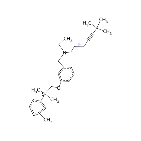 CCN(C/C=C/C#CC(C)(C)C)Cc1cccc(OC[Si](C)(C)c2cccc(C)c2)c1